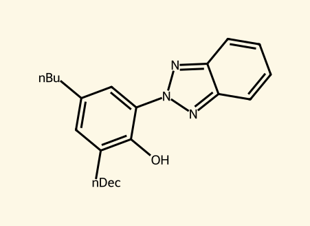 CCCCCCCCCCc1cc(CCCC)cc(-n2nc3ccccc3n2)c1O